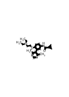 CCN(CC)CCOc1ccc(NC(=O)C2CC2)cc1-c1c(C)ncnc1C